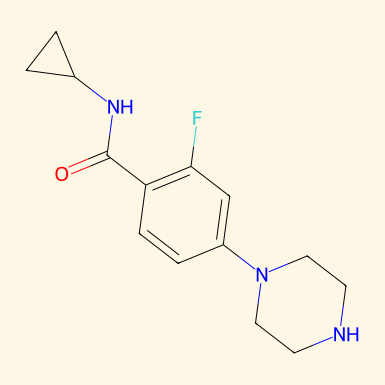 O=C(NC1CC1)c1ccc(N2CCNCC2)cc1F